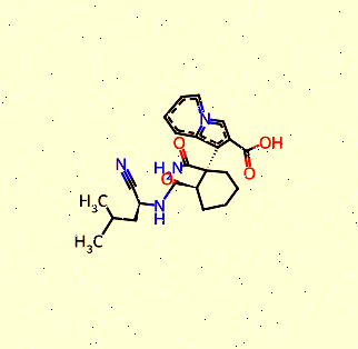 CC(C)C[C@@H](C#N)NC(=O)[C@@H]1CCCC[C@@]1(C(N)=O)c1c(C(=O)O)cn2ccccc12